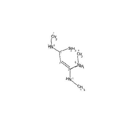 CNC(=CC([SiH3])NC)NC